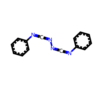 C(=NN=C=Nc1ccccc1)=Nc1ccccc1